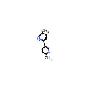 Cc1ccc(-c2ccc(C)nc2)nc1